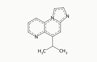 CC(C)c1cc2nccn2c2cccnc12